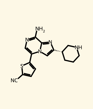 N#Cc1ccc(-c2cnc(N)c3nc([C@H]4CCCNC4)cn23)s1